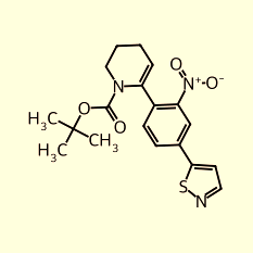 CC(C)(C)OC(=O)N1CCCC=C1c1ccc(-c2ccns2)cc1[N+](=O)[O-]